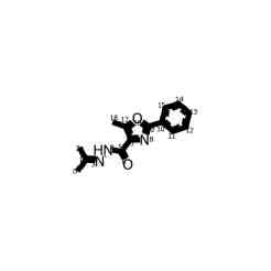 CC(C)=NNC(=O)c1nc(-c2ccccc2)oc1C